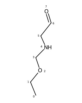 CCOCNCC=O